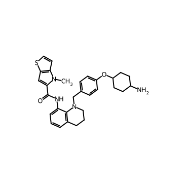 Cn1c(C(=O)Nc2cccc3c2N(Cc2ccc(OC4CCC(N)CC4)cc2)CCC3)cc2sccc21